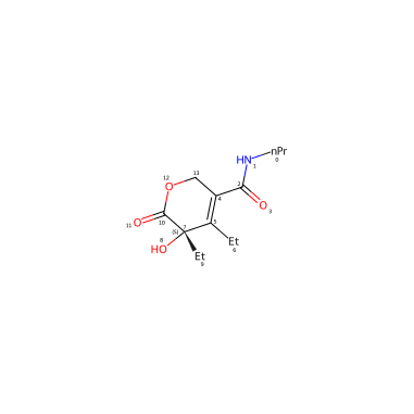 CCCNC(=O)C1=C(CC)[C@@](O)(CC)C(=O)OC1